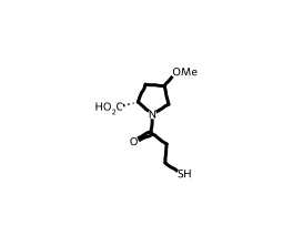 COC1C[C@@H](C(=O)O)N(C(=O)CCS)C1